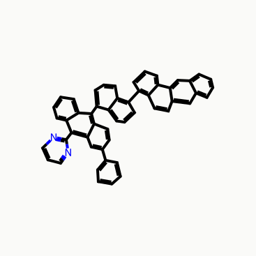 c1ccc(-c2ccc3c(-c4cccc5c(-c6cccc7c6ccc6cc8ccccc8cc67)cccc45)c4ccccc4c(-c4ncccn4)c3c2)cc1